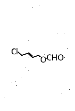 O=COCC=CCCl